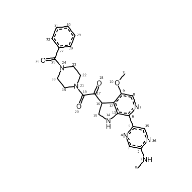 CNc1cnc(-c2ncc(OC)c3c2NCC3C(=O)C(=O)N2CCN(C(=O)c3ccccc3)CC2)cn1